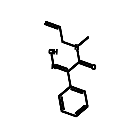 C=CCN(C)C(=O)/C(=N\O)c1ccccc1